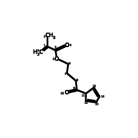 C=C(C)C(=O)OCCCC(=O)C1C=CC=C1